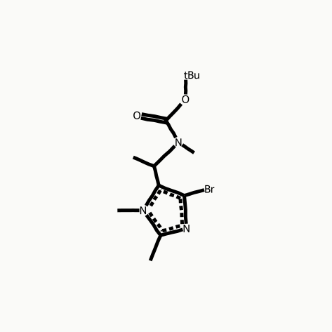 Cc1nc(Br)c(C(C)N(C)C(=O)OC(C)(C)C)n1C